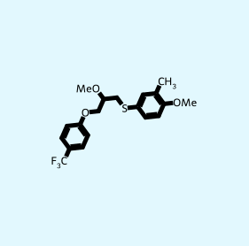 COc1ccc(SCC(COc2ccc(C(F)(F)F)cc2)OC)cc1C